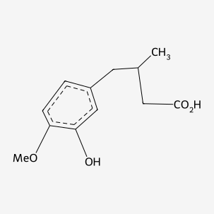 COc1ccc(CC(C)CC(=O)O)cc1O